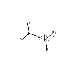 CC(=O)N(C)C.CCNCC